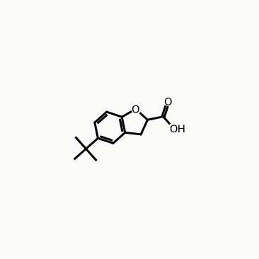 CC(C)(C)c1ccc2c(c1)CC(C(=O)O)O2